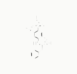 NS(=O)(=O)c1cc2c(cc1C(F)(F)F)NC(Cc1ccccc1)NS2